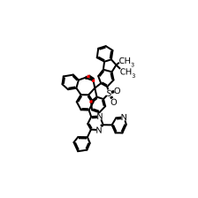 CC1(C)c2ccccc2-c2cc3c(cc21)S(=O)(=O)c1ccccc1C31c2ccccc2-c2ccccc2-c2ccc(-c3cc(-c4ccccc4)nc(-c4cccnc4)n3)cc21